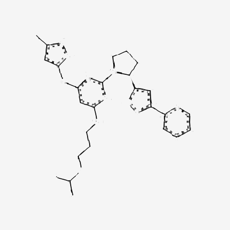 Cc1cc(Nc2cc(NCCCOC(C)C)nc(N3CCC[C@H]3c3cc(-c4ccccn4)no3)n2)n[nH]1